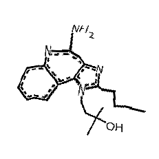 CCCc1nc2c(N)nc3ccccc3c2n1CC(C)(C)O